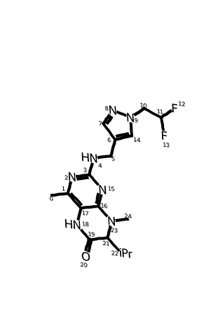 Cc1nc(NCc2cnn(CC(F)F)c2)nc2c1NC(=O)C(C(C)C)N2C